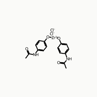 CC(=O)Nc1ccc([O][Zr+2][O]c2ccc(NC(C)=O)cc2)cc1.[Cl-].[Cl-]